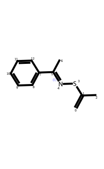 C=C(C)S/N=C(\C)c1ccccc1